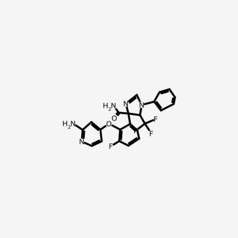 NC(=O)C1(c2cccc(F)c2Oc2ccnc(N)c2)N=CN(c2ccccc2)C1C(F)(F)F